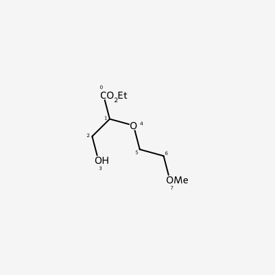 CCOC(=O)C(CO)OCCOC